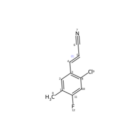 Cc1cc(/C=C/C#N)c(Cl)cc1F